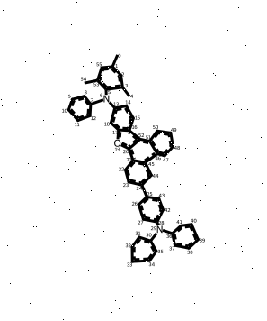 Cc1cc(C)c(N(c2ccccc2)c2ccc3c(c2)oc2c4ccc(-c5ccc(N(c6ccccc6)c6ccccc6)cc5)cc4c4ccccc4c32)c(C)c1